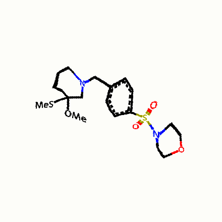 COC1(SC)CCCN(Cc2ccc(S(=O)(=O)N3CCOCC3)cc2)C1